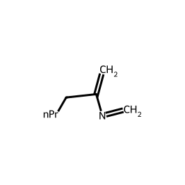 C=NC(=C)CCCC